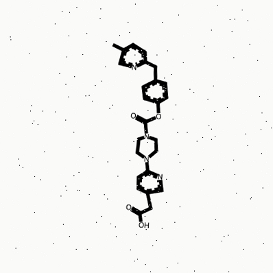 Cc1ccc(Cc2ccc(OC(=O)N3CCN(c4ccc(CC(=O)O)cn4)CC3)cc2)nc1